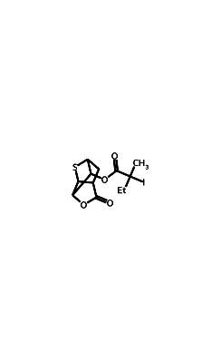 CCC(C)(I)C(=O)OC1C2CC3C(=O)OC1C3S2